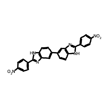 O=[N+]([O-])c1ccc(-c2nc3cc(-c4ccc5[nH]c(-c6ccc([N+](=O)[O-])cc6)nc5c4)ccc3[nH]2)cc1